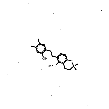 COc1c(CCc2cc(C)c(C)cc2O)ccc2c1CCC(C)(C)O2